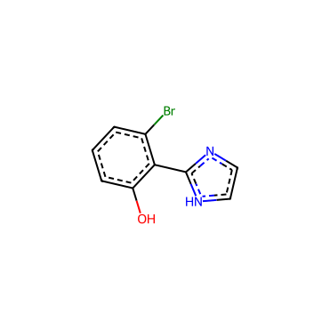 Oc1cccc(Br)c1-c1ncc[nH]1